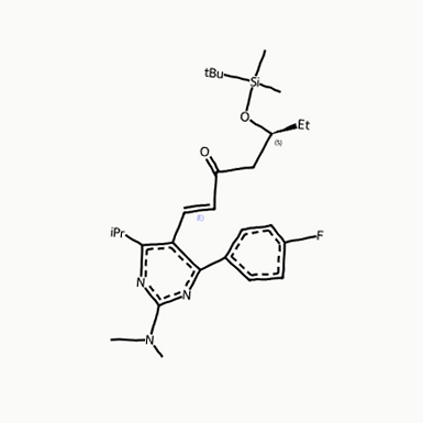 CC[C@@H](CC(=O)/C=C/c1c(-c2ccc(F)cc2)nc(N(C)C)nc1C(C)C)O[Si](C)(C)C(C)(C)C